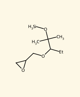 CCC(OCC1CO1)C(C)(C)O[SiH3]